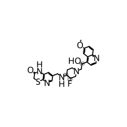 COc1ccc2nccc([C@H](O)CN3CC[C@H](NCc4cnc5c(c4)NC(=O)CS5)[C@@H](F)C3)c2c1